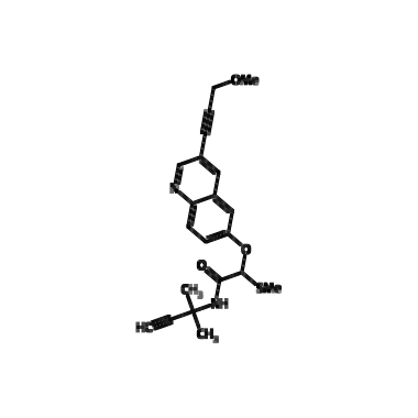 C#CC(C)(C)NC(=O)C(Oc1ccc2ncc(C#CCOC)cc2c1)SC